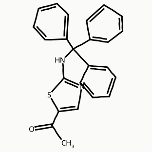 CC(=O)c1cnc(NC(c2ccccc2)(c2ccccc2)c2ccccc2)s1